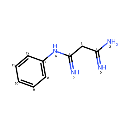 N=C(N)CC(=N)Nc1ccccc1